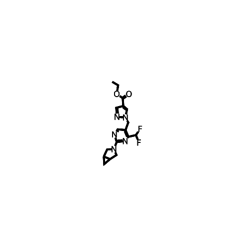 CCOC(=O)c1cnn(Cc2cnc(N3CC4CC4C3)nc2C(F)F)c1